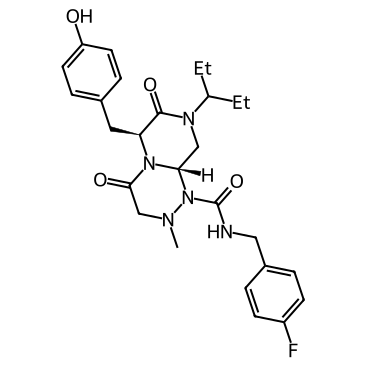 CCC(CC)N1C[C@H]2N(C(=O)CN(C)N2C(=O)NCc2ccc(F)cc2)[C@@H](Cc2ccc(O)cc2)C1=O